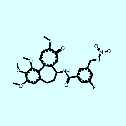 COc1cc2c(c(OC)c1OC)-c1ccc(SC)c(=O)cc1[C@@H](NC(=O)c1cc(F)cc(CO[N+](=O)[O-])c1)CC2